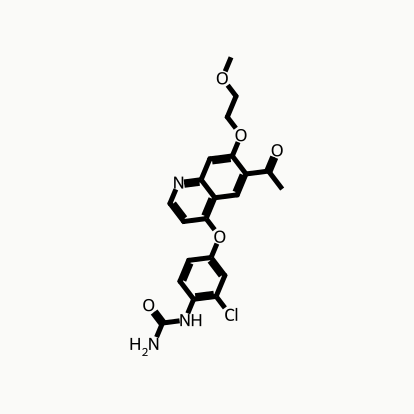 COCCOc1cc2nccc(Oc3ccc(NC(N)=O)c(Cl)c3)c2cc1C(C)=O